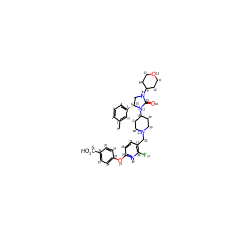 Cc1cccc([C@@H]2CN(C3CCOCC3)C(=O)N2C2CCN(Cc3ccc(Oc4ccc(C(=O)O)cc4)nc3F)CC2)c1